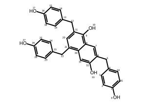 Oc1ccc(Cc2cc3c(O)c(Cc4ccc(O)cc4)cc(Cc4ccc(O)cc4)c3cc2O)cc1